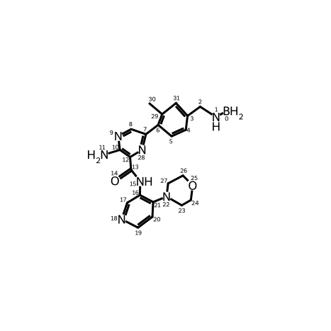 BNCc1ccc(-c2cnc(N)c(C(=O)Nc3cnccc3N3CCOCC3)n2)c(C)c1